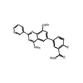 CNC(=O)c1cc(-c2cc(OC)c3nc(-c4cccnc4)nc(NC)c3c2)ccc1F